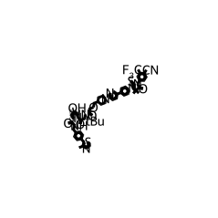 Cc1ncsc1-c1ccc(CNC(=O)[C@@H]2C[C@@H](O)CN2C(=O)C(NC(=O)COCC2CCN(c3ccc(-c4ccc(N5C(=S)N(c6ccc(C#N)c(C(F)(F)F)c6)C(=O)C5(C)C)cc4)cn3)CC2)C(C)(C)C)cc1